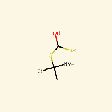 CCC(C)(NC)SC(O)S